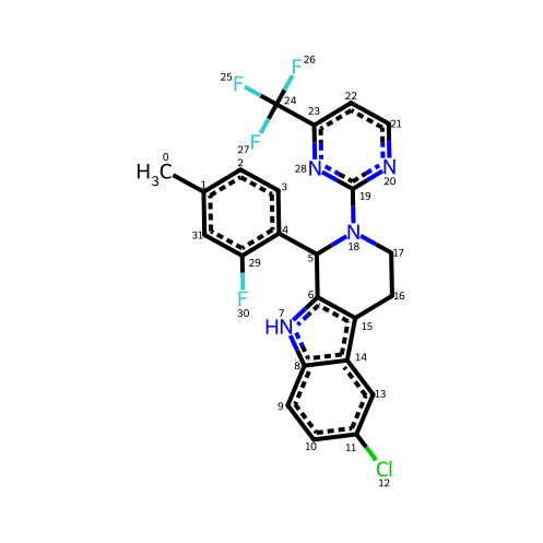 Cc1ccc(C2c3[nH]c4ccc(Cl)cc4c3CCN2c2nccc(C(F)(F)F)n2)c(F)c1